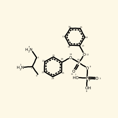 CC(N)CN.O=P(O)(O)OP(=O)(Oc1ccccc1)Oc1ccccc1